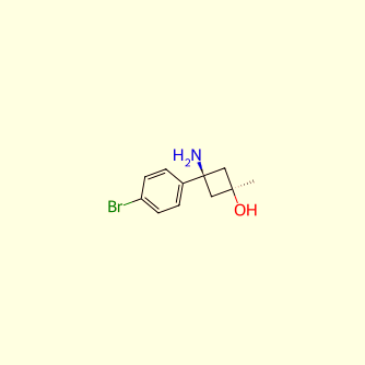 C[C@]1(O)C[C@](N)(c2ccc(Br)cc2)C1